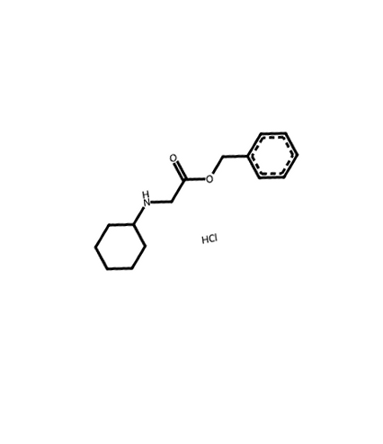 Cl.O=C(CNC1CCCCC1)OCc1ccccc1